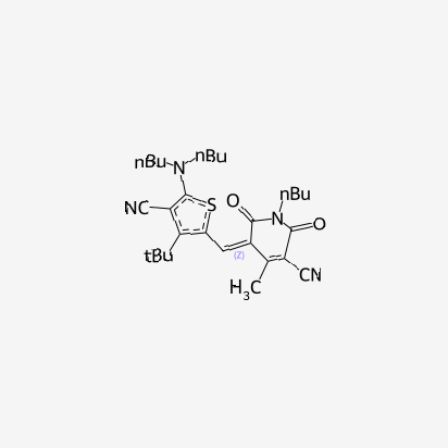 CCCCN1C(=O)C(C#N)=C(C)/C(=C/c2sc(N(CCCC)CCCC)c(C#N)c2C(C)(C)C)C1=O